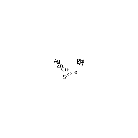 [Ag].[Au].[Cu].[Pb].[S]=[Fe].[Zn]